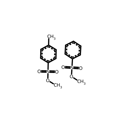 COS(=O)(=O)c1ccc(C)cc1.COS(=O)(=O)c1ccccc1